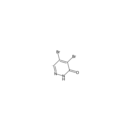 O=c1[nH]n[c]c(Br)c1Br